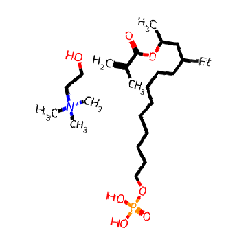 C=C(C)C(=O)OC(C)CC(CC)CCCCCCCCCOP(=O)(O)O.C[N+](C)(C)CCO